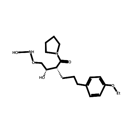 CCOc1ccc(CCC[C@@H](C(=O)N2CCCC2)[C@H](O)CONO)cc1